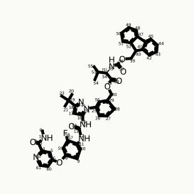 CNC(=O)c1cc(Oc2ccc(NC(=O)Nc3cc(C(C)(C)C)nn3-c3cccc(COC(=O)[C@@H](NC(=O)OCC4c5ccccc5-c5ccccc54)C(C)C)c3)c(F)c2)ccn1